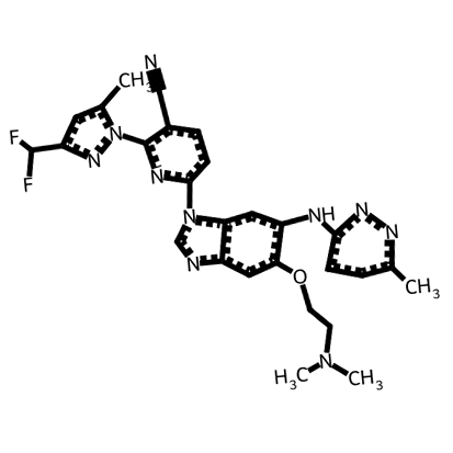 Cc1ccc(Nc2cc3c(cc2OCCN(C)C)ncn3-c2ccc(C#N)c(-n3nc(C(F)F)cc3C)n2)nn1